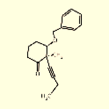 CCC#C[C@@]1(C)C(=O)CCC[C@H]1OCc1ccccc1